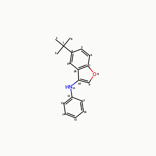 CC(C)(C)c1ccc2occ(Nc3ccccc3)c2c1